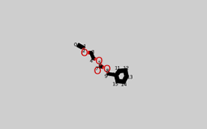 C=COCCOC(=O)OCc1ccccc1